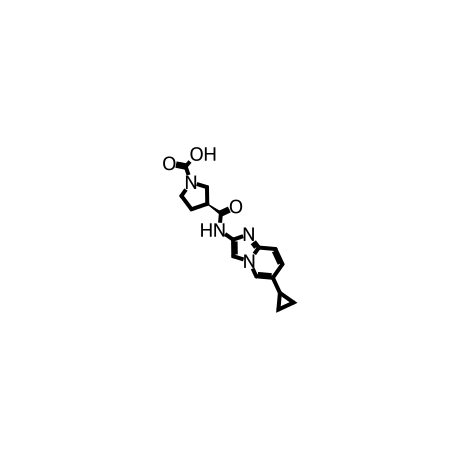 O=C(Nc1cn2cc(C3CC3)ccc2n1)[C@H]1CCN(C(=O)O)C1